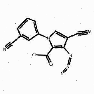 N#Cc1cccc(-n2cc(C#N)c(N=[N+]=[N-])c2C(=O)Cl)c1